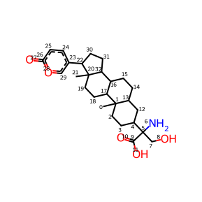 CC12CCC(C(N)(CO)C(=O)O)CC1CCC1C2CCC2(C)C(c3ccc(=O)oc3)CCC12